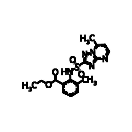 CCOC(=O)c1cccc(C)c1NS(=O)(=O)c1nc2nccc(C)n2n1